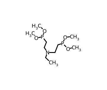 CCN(CCP(OC)OC)CCP(OC)OC